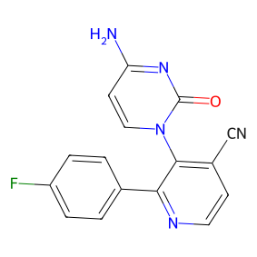 N#Cc1ccnc(-c2ccc(F)cc2)c1-n1ccc(N)nc1=O